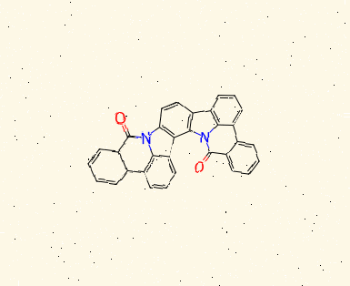 O=C1C2C=CC=CC2c2cccc3c4c(ccc5c6cccc7c8ccccc8c(=O)n(c76)c54)n1c23